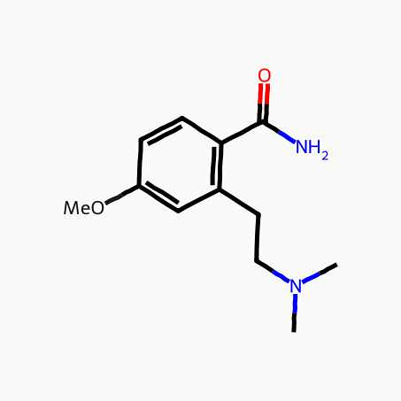 COc1ccc(C(N)=O)c(CCN(C)C)c1